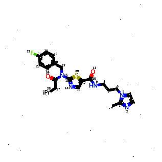 Cc1nccn1CCCNC(=O)c1cnc(N(Cc2ccc(F)cc2)C(=O)CC(C)C)s1